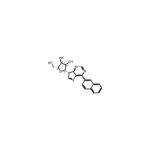 OC[C@H]1O[C@@H](n2cnc3c(-c4ccc5ccccc5c4)ncnc32)[C@H](O)[C@@H]1O